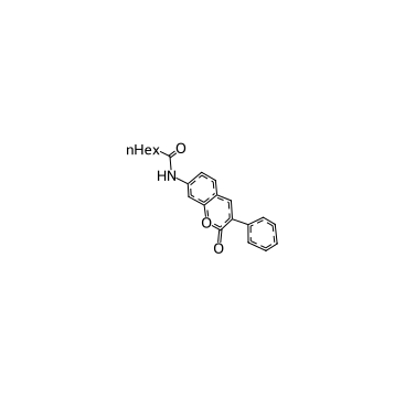 CCCCCCC(=O)Nc1ccc2cc(-c3ccccc3)c(=O)oc2c1